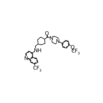 O=C(C1CCC(CNc2ccnc3cc(C(F)(F)F)ccc23)CC1)N1CCN(c2ccc(OC(F)(F)F)cc2)CC1